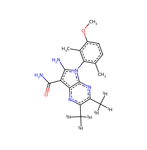 [2H]C([2H])([2H])c1nc2c(C(N)=O)c(N)n(-c3c(C)ccc(OC)c3C)c2nc1C([2H])([2H])[2H]